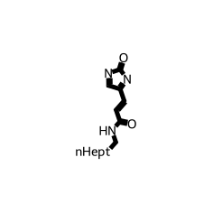 CCCCCCCCNC(=O)C=CC1=NC(=O)N=C1